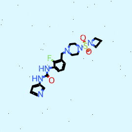 O=C(Nc1cccnc1)Nc1cccc(CN2CCN(S(=O)(=O)N3CCC3)CC2)c1F